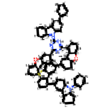 c1ccc(-c2ccc3c(c2)c2ccccc2n3-c2nc(-c3ccc4c(c3)oc3ccccc34)nc(-c3cccc4oc5ccc(-c6ccc7sc8cccc(-c9ccc%10c(c9)c9ccccc9n%10-c9ccccc9)c8c7c6)cc5c34)n2)cc1